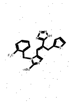 CCCCc1ncc(/C=C(\Cc2cccs2)c2nnn[nH]2)n1Cc1ccccc1C(F)(F)F